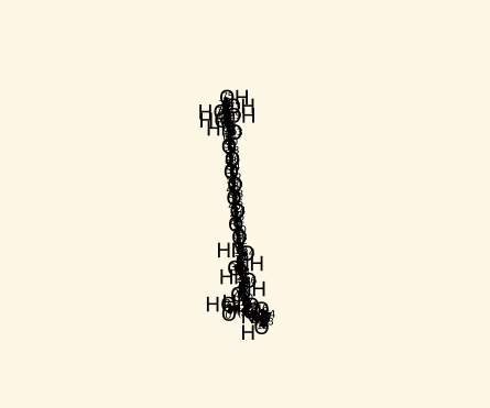 O=C(O)CC[C@H](NC(=O)CN1C(=O)C=CC1=O)C(=O)NCC(=O)NCC(=O)NCC(=O)NCC(=O)NCCOCCOCCOCCOCCOCCOCCOCCOCCC(=O)NC[C@H](O)[C@@H](O)[C@H](O)[C@H](O)CO